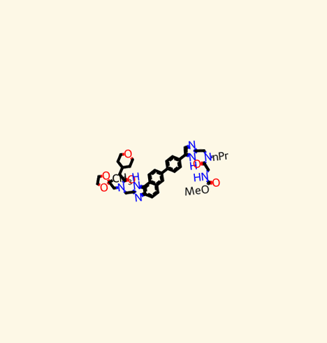 CCCN(Cc1ncc(-c2ccc(-c3ccc4c(ccc5nc(CN(CC6(C)OCCO6)C(=O)CC6CCOCC6)[nH]c54)c3)cc2)[nH]1)C(=O)CNC(=O)OC